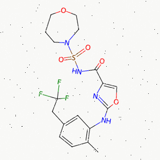 Cc1ccc(CC(F)(F)F)cc1Nc1nc(C(=O)NS(=O)(=O)N2CCCOCC2)co1